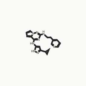 c1cncc(CCNc2nc(Nc3cc(C4CC4)n[nH]3)c3cccn3n2)c1